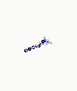 CC(=O)Nc1n[nH]c2ccc(NC(=O)C3CCN(CC(=O)N4CCN(c5ccc(-c6ncccn6)cc5)CC4)C3)cc12